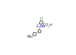 CC(C)(C)c1ccc(-c2cccc(C3Nc4c(cc(Cl)cc4C(=O)O)CC3(C)C)c2)cc1